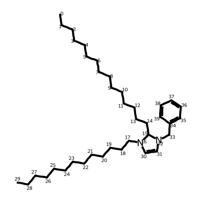 CCCCCCCCCCCCCCCC1N(CCCCCCCCCCCCC)C=CN1Cc1ccccc1